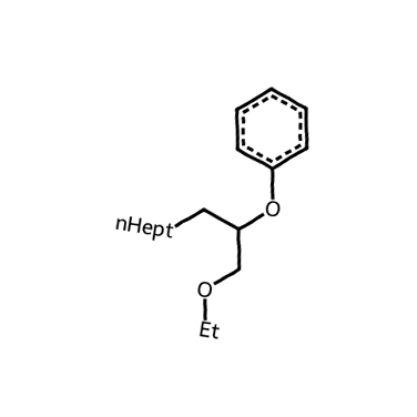 [CH2]COCC(CCCCCCCC)Oc1ccccc1